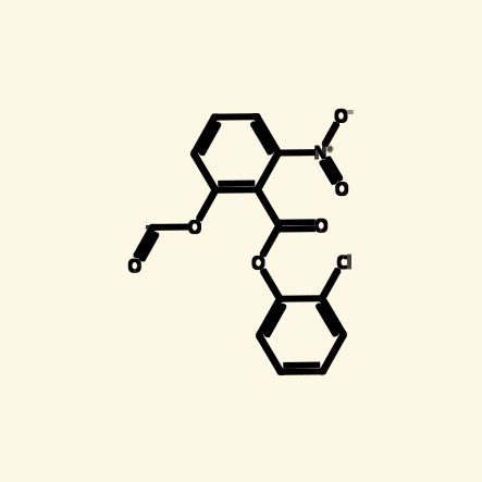 O=[C]Oc1cccc([N+](=O)[O-])c1C(=O)Oc1ccccc1Cl